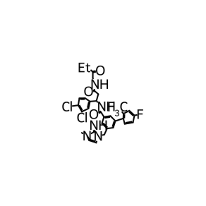 CCC(=O)CNC(=O)CC(NC(=O)c1cc(Cn2ccn(C)c2=N)cc(-c2ccc(F)cc2C(F)(F)F)c1)c1ccc(Cl)c(Cl)c1